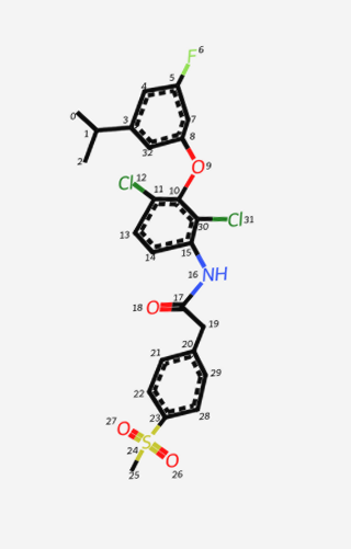 CC(C)c1cc(F)cc(Oc2c(Cl)ccc(NC(=O)Cc3ccc(S(C)(=O)=O)cc3)c2Cl)c1